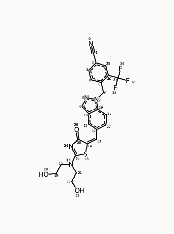 N#Cc1ccc(Cn2ncc3cc(C=C4SC(N(CCO)CCO)=NC4=O)ccc32)c(C(F)(F)F)c1